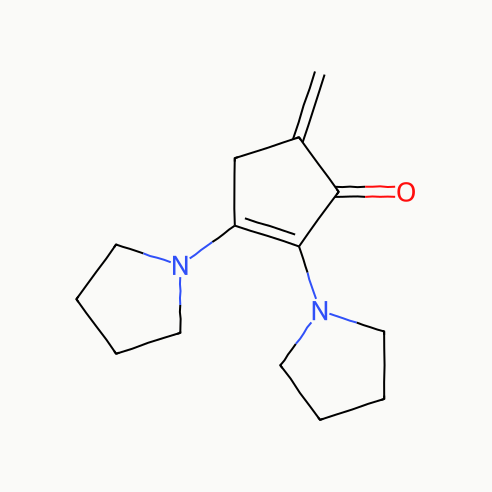 C=C1CC(N2CCCC2)=C(N2CCCC2)C1=O